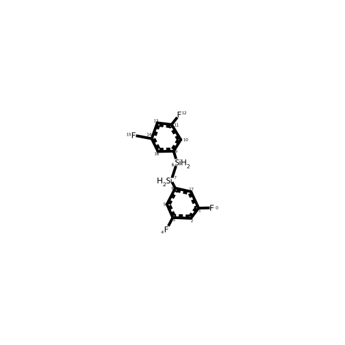 Fc1cc(F)cc([SiH2][SiH2]c2cc(F)cc(F)c2)c1